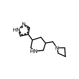 c1n[nH]cc1C1CNCC(CN2CCC2)C1